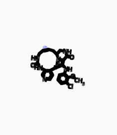 COc1c(Cl)cccc1Nc1c2nn3c1C(=O)NCC3C/C=C\CNC(=O)Nc1cnccc1-2